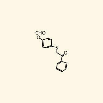 O=COc1ccc(SCC(=O)c2ccccc2)cc1